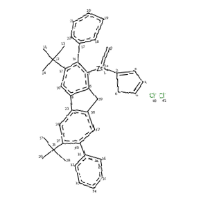 [CH2]=[Zr+2]([C]1=CC=CC1)[c]1c2c(cc(C(C)(C)C)c1-c1ccccc1)-c1cc(C(C)(C)C)c(-c3ccccc3)cc1C2.[Cl-].[Cl-]